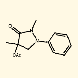 CC(=O)OC1(C)CN(c2ccccc2)N(C)C1=O